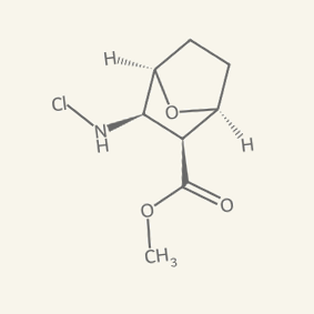 COC(=O)[C@H]1[C@@H](NCl)[C@H]2CC[C@@H]1O2